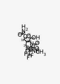 COC1(NC(=O)C(F)(F)F)C(=O)N2C(C(=O)O)=C(COC(N)=O)CS[C@H]21